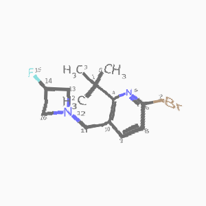 CC(C)(C)c1nc(Br)ccc1CN1CC(F)C1